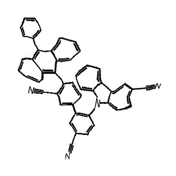 N#Cc1ccc(-n2c3ccccc3c3cc(C#N)ccc32)c(-c2ccc(-c3c4ccccc4c(-c4ccccc4)c4ccccc34)c(C#N)c2)c1